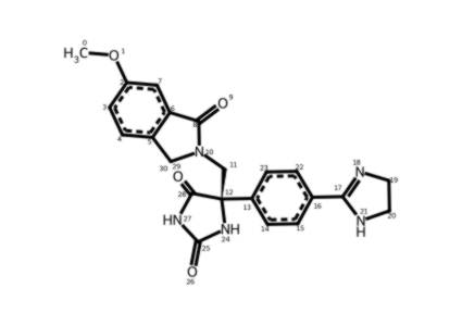 COc1ccc2c(c1)C(=O)N(C[C@@]1(c3ccc(C4=NCCN4)cc3)NC(=O)NC1=O)C2